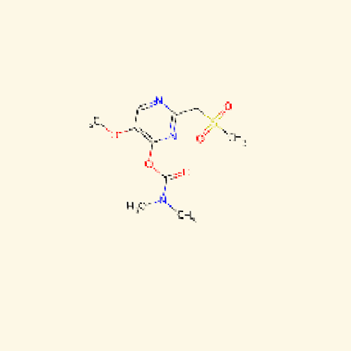 COc1cnc(CS(C)(=O)=O)nc1OC(=O)N(C)C